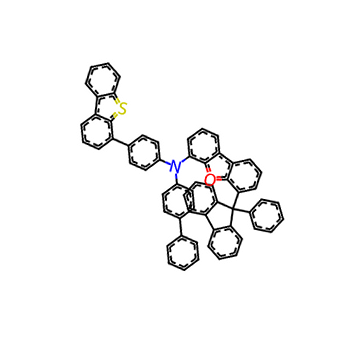 c1ccc(-c2ccc(N(c3ccc(-c4cccc5c4sc4ccccc45)cc3)c3cccc4c3oc3c(C5(c6ccccc6)c6ccccc6-c6ccccc65)cccc34)cc2)cc1